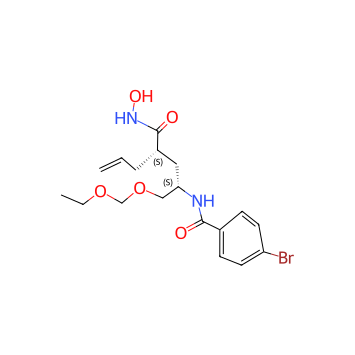 C=CC[C@@H](C[C@@H](COCOCC)NC(=O)c1ccc(Br)cc1)C(=O)NO